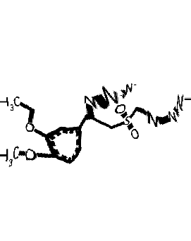 CCOc1cc(C(CS(=O)(=O)CN=[N+]=[N-])N=[N+]=[N-])ccc1OC